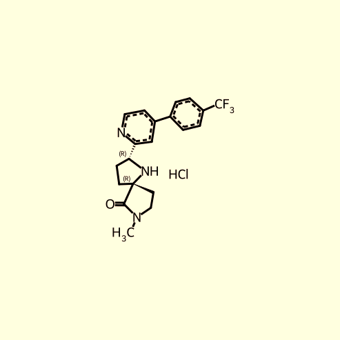 CN1CC[C@]2(CC[C@H](c3cc(-c4ccc(C(F)(F)F)cc4)ccn3)N2)C1=O.Cl